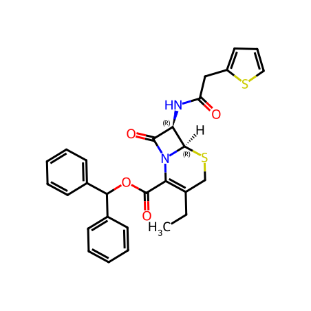 CCC1=C(C(=O)OC(c2ccccc2)c2ccccc2)N2C(=O)[C@@H](NC(=O)Cc3cccs3)[C@H]2SC1